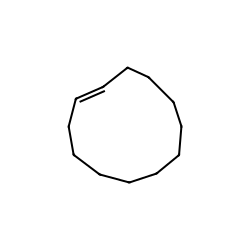 C1=CCCCCCCCCCC1